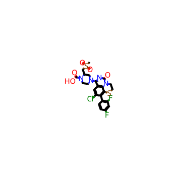 CS(=O)(=O)CC1CN(c2nc(=O)n3c4c(c(-c5ccc(F)cc5F)c(Cl)cc24)SCC3)CCN1C(=O)O